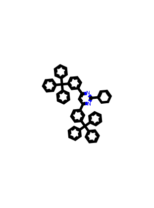 C1=CCCC(c2nc(-c3cccc(C(c4ccccc4)(c4ccccc4)c4ccccc4)c3)cc(-c3cccc(C(c4ccccc4)(c4ccccc4)c4ccccc4)c3)n2)=C1